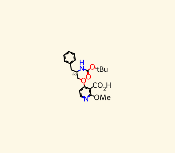 COc1nccc(OC[C@@H](Cc2ccccc2)NC(=O)OC(C)(C)C)c1C(=O)O